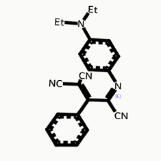 CCN(CC)c1ccc(/N=C(/C#N)C(=C(C#N)C#N)c2ccccc2)cc1